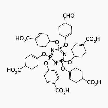 O=CC1CC=C(OP2(OC3CC=C(C(=O)O)CC3)=NP(OC3=CCC(C(=O)O)CC3)(OC3CC=C(C(=O)O)CC3)=NP(OC3=CCC(C(=O)O)CC3)(OC3C=CC(C(=O)O)=CC3)=N2)CC1